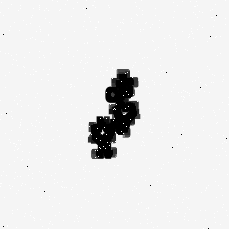 CN(C)c1ccnc(N2CC3CCN(C(=O)OC(C)(C)C)CC32)c1